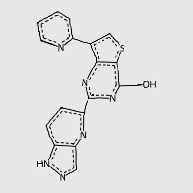 Oc1nc(-c2ccc3[nH]ncc3n2)nc2c(-c3ccccn3)csc12